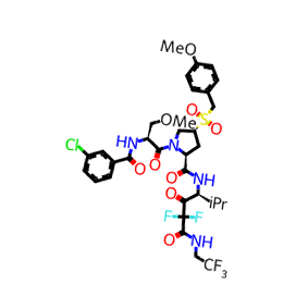 COC[C@H](NC(=O)c1cccc(Cl)c1)C(=O)N1C[C@H](S(=O)(=O)Cc2ccc(OC)cc2)C[C@H]1C(=O)N[C@H](C(=O)C(F)(F)C(=O)NCC(F)(F)F)C(C)C